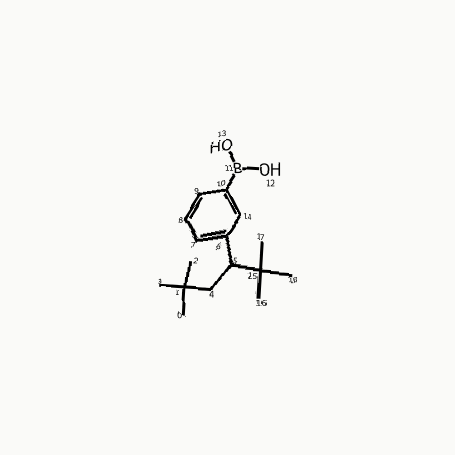 CC(C)(C)CC(c1cccc(B(O)O)c1)C(C)(C)C